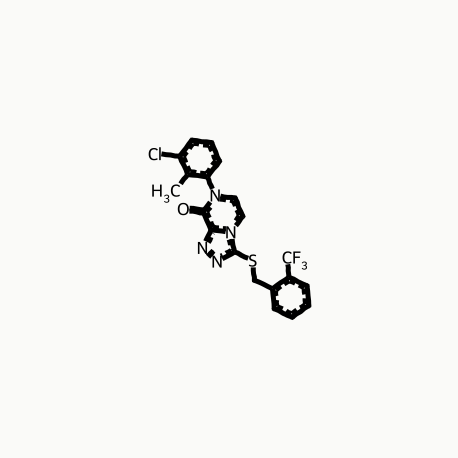 Cc1c(Cl)cccc1-n1ccn2c(SCc3ccccc3C(F)(F)F)nnc2c1=O